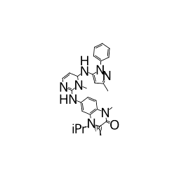 Cc1cc(NC2C=CN=C(Nc3ccc4c(c3)N(C(C)C)[C@H](C)C(=O)N4C)N2C)n(-c2ccccc2)n1